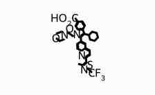 Cc1nc(C(F)(F)F)sc1-c1ccc2cc(-c3c(C4CCCCC4)c4ccc(C(=O)O)cc4n3CC(=O)N3CCOCC3)ccc2n1